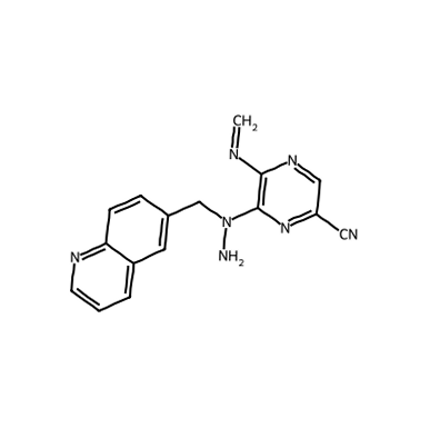 C=Nc1ncc(C#N)nc1N(N)Cc1ccc2ncccc2c1